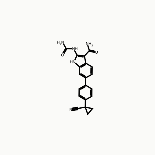 N#CC1(c2ccc(-c3ccc4c(C(N)=O)c(NC(N)=O)[nH]c4c3)cc2)CC1